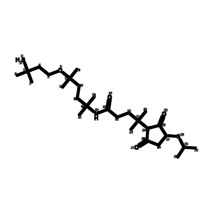 BC(C)(C)CCOC(C)(C)CCC(C)(C)NC(=O)CCC(C)(C)N1C(=O)CC(SC(C)C)C1=O